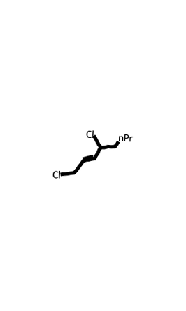 CCCCC(Cl)C=CCCl